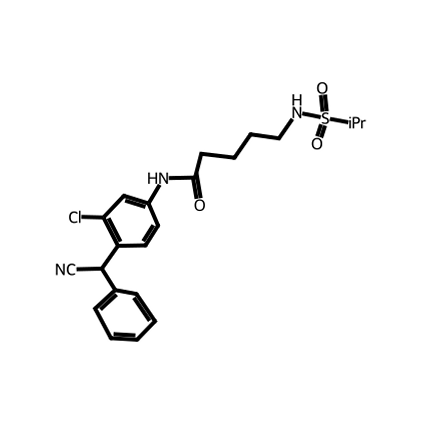 CC(C)S(=O)(=O)NCCCCC(=O)Nc1ccc(C(C#N)c2ccccc2)c(Cl)c1